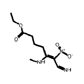 CCOC(=O)CCC/C(NC)=C(/C=N)[N+](=O)[O-]